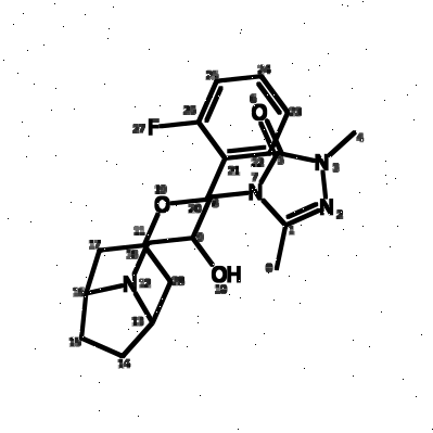 Cc1nn(C)c(=O)n1CC(O)CN1C2CCC1CC(OCc1ccccc1F)C2